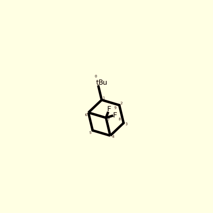 CC(C)(C)C1CCC2CC1C2(F)F